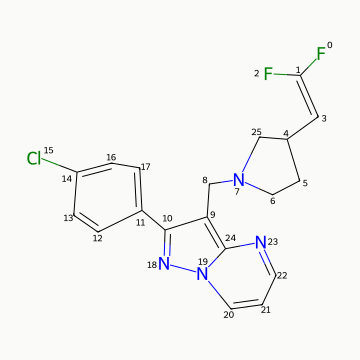 FC(F)=CC1CCN(Cc2c(-c3ccc(Cl)cc3)nn3cccnc23)C1